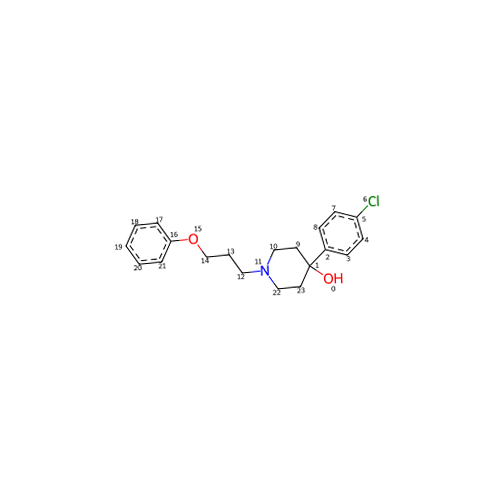 OC1(c2ccc(Cl)cc2)CCN(CCCOc2ccccc2)CC1